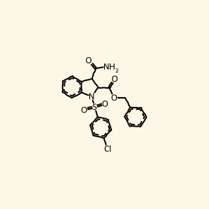 NC(=O)C1c2ccccc2N(S(=O)(=O)c2ccc(Cl)cc2)C1C(=O)OCc1ccccc1